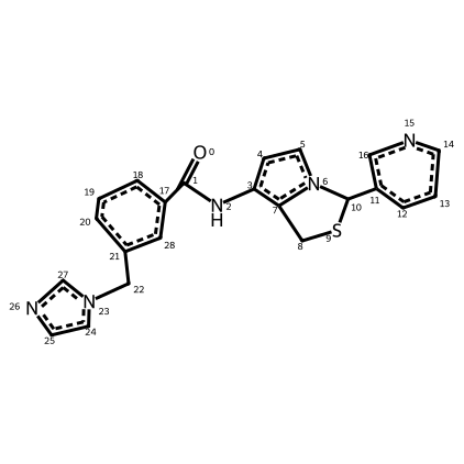 O=C(Nc1ccn2c1CSC2c1cccnc1)c1cccc(Cn2ccnc2)c1